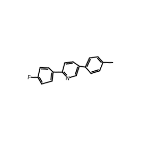 Cc1ccc(-c2ccc(-c3ccc(F)cc3)nc2)cc1